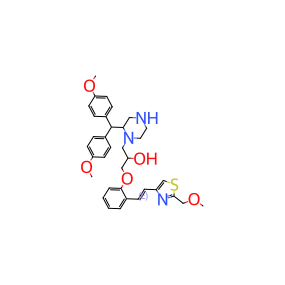 COCc1nc(/C=C/c2ccccc2OCC(O)CN2CCNCC2C(c2ccc(OC)cc2)c2ccc(OC)cc2)cs1